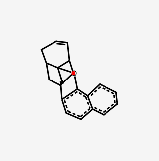 C1=CC2CCCC(C1)C21C=Cc2ccc3ccccc3c2O1